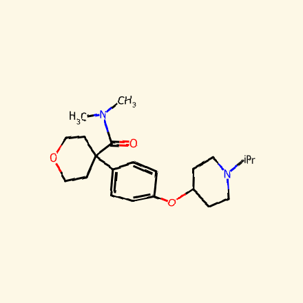 CC(C)N1CCC(Oc2ccc(C3(C(=O)N(C)C)CCOCC3)cc2)CC1